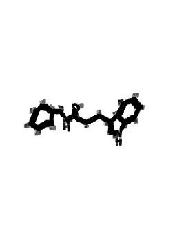 O=C(CCc1c[nH]c2ccccc12)NCc1ccccc1